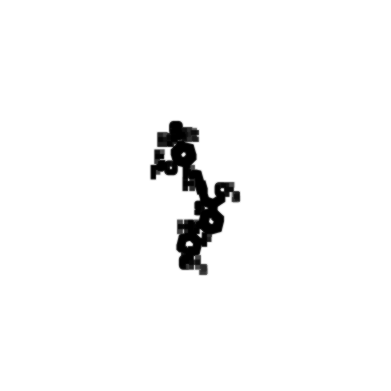 CCP(=O)(CC)c1ccc(NCC#Cc2sc3c(NC4CCN(C)C[C@@H]4F)cccc3c2CC(F)(F)F)c(OC(F)F)c1